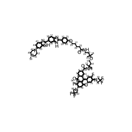 COC(=O)c1ccc(C(=O)NC(C)(C)CCOC(C)(C)CCNC(=O)CCCCOc2ccc(-c3nc4ccc(-c5nc6ccc(N7CCN(C)CC7)cc6[nH]5)cc4[nH]3)cc2)cc1-c1c2cc(F)c(=[N+]3CC(F)(F)C3)cc-2oc2cc(N3CC(F)(F)C3)c(F)cc12